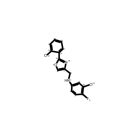 Fc1ccc(NCc2coc(-c3ccccc3Cl)n2)cc1Cl